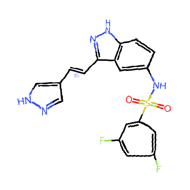 O=S(=O)(Nc1ccc2[nH]nc(/C=C/c3cn[nH]c3)c2c1)c1cc(F)cc(F)c1